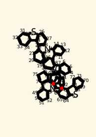 O=S12(c3ccccc3-c3c(-c4ccccc4-n4c5ccccc5c5c6c(ccc54)sc4ccccc46)cccc31)c1ccccc1-c1c(-c3ccccc3-n3c4ccccc4c4c5c(ccc43)sc3ccccc35)cccc12